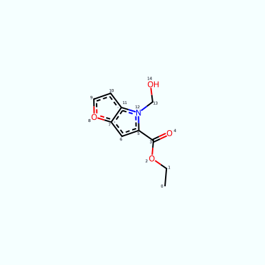 CCOC(=O)c1cc2occc2n1CO